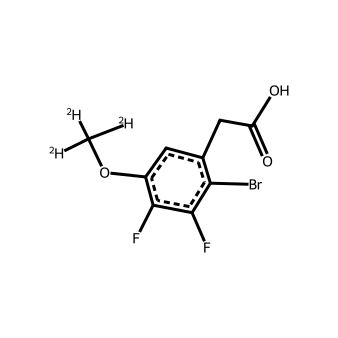 [2H]C([2H])([2H])Oc1cc(CC(=O)O)c(Br)c(F)c1F